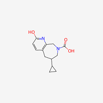 O=C(O)N1Cc2nc(O)ccc2CC(C2CC2)C1